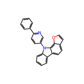 c1ccc(-c2ccc(-n3c4ccccc4c4ccc5ccoc5c43)cn2)cc1